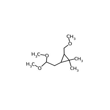 COCC1C(CC(OC)OC)C1(C)C